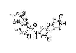 O=C(Nc1cc(Cl)cc(Oc2cc[nH]c(=O)c2)c1)c1cc(N2CCCS2(=O)=O)ccc1Cl